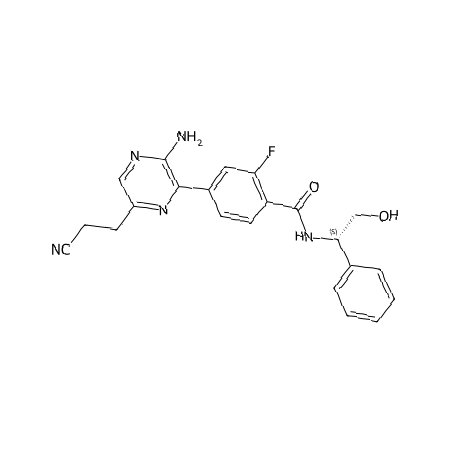 N#CCCc1cnc(N)c(-c2ccc(C(=O)N[C@H](CO)c3ccccc3)c(F)c2)n1